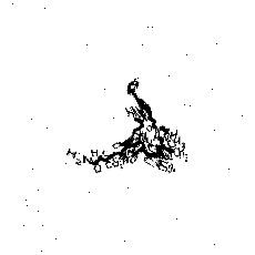 CC(C)(CC(C(=O)O)C(C(=O)NCCc1c[nH]cn1)C1(C)CC(C(C(=O)O)C(C)(C)CC(C(=O)O)C(C(=O)NCCNC(=O)CCCCC2CCSS2)C(C)(C)C(C)(C)C)C(=O)N1)C(CC(N)=O)C(=O)O